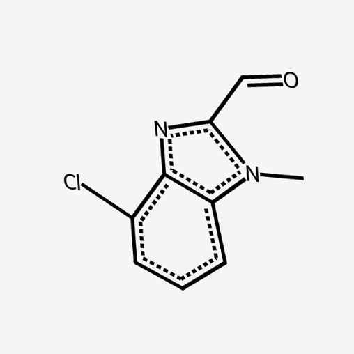 Cn1c(C=O)nc2c(Cl)cccc21